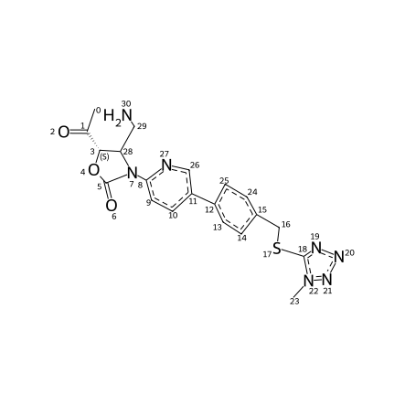 CC(=O)[C@H]1OC(=O)N(c2ccc(-c3ccc(CSc4nnnn4C)cc3)cn2)C1CN